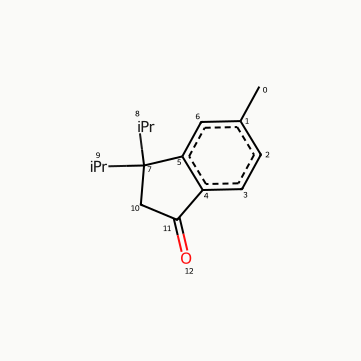 Cc1ccc2c(c1)C(C(C)C)(C(C)C)CC2=O